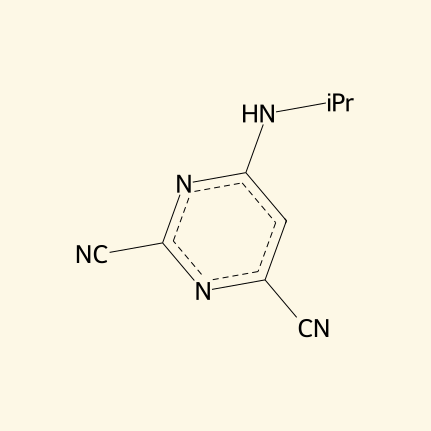 CC(C)Nc1cc(C#N)nc(C#N)n1